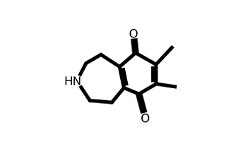 CC1=C(C)C(=O)C2=C(CCNCC2)C1=O